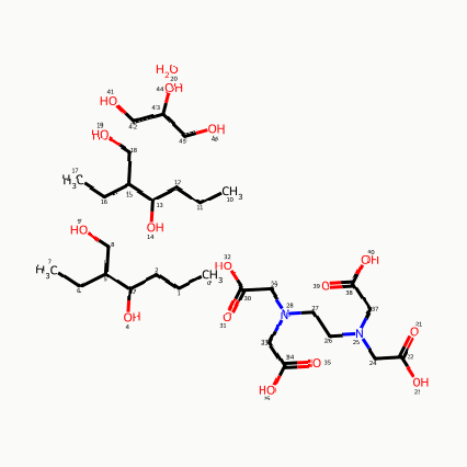 CCCC(O)C(CC)CO.CCCC(O)C(CC)CO.O.O=C(O)CN(CCN(CC(=O)O)CC(=O)O)CC(=O)O.OCC(O)CO